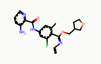 C=C/N=C(/OCC1CCOC1)c1c(C)cc(NC(=O)c2ncccc2N)cc1F